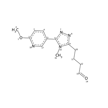 COc1ccc(-c2nnc(CCCC=O)n2C)cn1